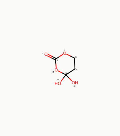 O=C1OCCC(O)(O)O1